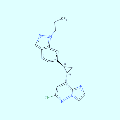 FC(F)(F)CCn1ncc2ccc([C@H]3C[C@@H]3c3cc(Cl)nn4ccnc34)cc21